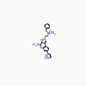 CN(CCn1cc2c(n1)c(N)nc1cc(-c3cc[nH]n3)ccc12)Cc1ccccc1